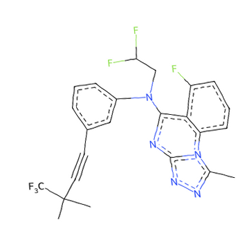 Cc1nnc2nc(N(CC(F)F)c3cccc(C#CC(C)(C)C(F)(F)F)c3)c3c(F)cccc3n12